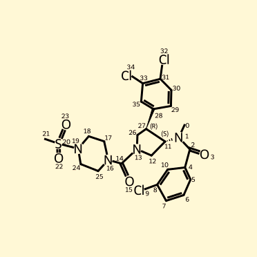 CN(C(=O)c1cccc(Cl)c1)[C@@H]1CN(C(=O)N2CCN(S(C)(=O)=O)CC2)C[C@H]1c1ccc(Cl)c(Cl)c1